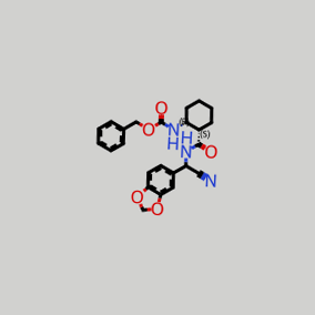 N#CC(NC(=O)[C@H]1CCCC[C@H]1NC(=O)OCc1ccccc1)c1ccc2c(c1)OCO2